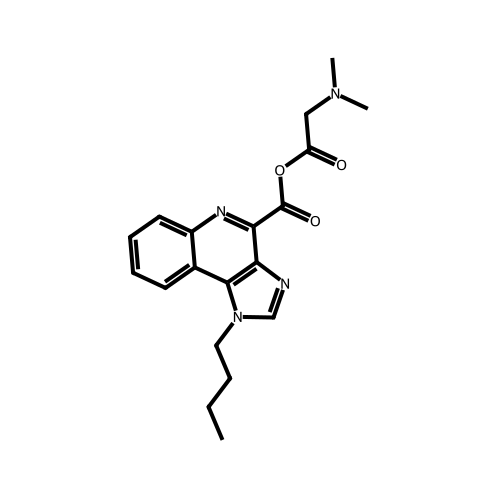 CCCCn1cnc2c(C(=O)OC(=O)CN(C)C)nc3ccccc3c21